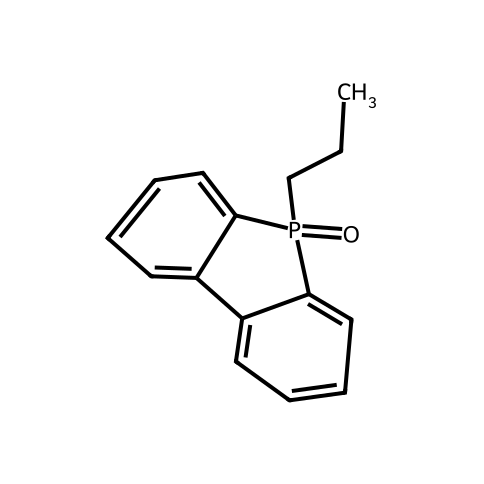 CCCP1(=O)c2ccccc2-c2ccccc21